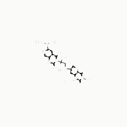 CC(C)n1c(=O)c2ncc(OCC(C)(C)n3c(=O)c4cc(N(C)C)ncc4n(C)c3=O)cc2n(C)c1=O